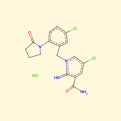 Cl.N=c1c(C(N)=O)cc(Cl)cn1Cc1cc(Cl)ccc1N1CCCC1=O